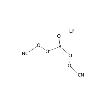 N#COOB([O-])OOC#N.[Li+]